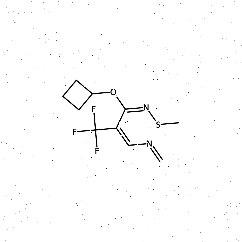 C=N/C=C(\C(=N/SC)OC1CCC1)C(F)(F)F